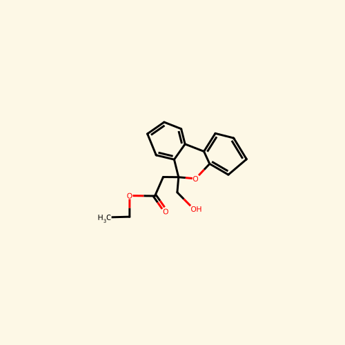 CCOC(=O)CC1(CO)Oc2ccccc2-c2ccccc21